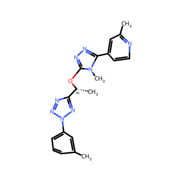 Cc1cccc(-n2nnc([C@@H](C)Oc3nnc(-c4ccnc(C)c4)n3C)n2)c1